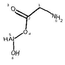 NCC(=O)[O][AlH][OH]